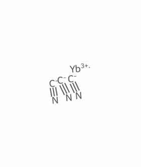 [C-]#N.[C-]#N.[C-]#N.[Yb+3]